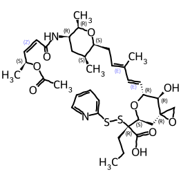 CCC[C@](SSc1ccccn1)(C(=O)O)[C@@H]1C[C@@]2(CO2)[C@H](O)[C@@H](/C=C/C(C)=C/C[C@@H]2O[C@H](C)[C@H](NC(=O)/C=C\[C@H](C)OC(C)=O)C[C@@H]2C)O1